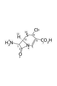 NC1C(=O)N2C=C(C(=O)O)C(Cl)S[C@H]12